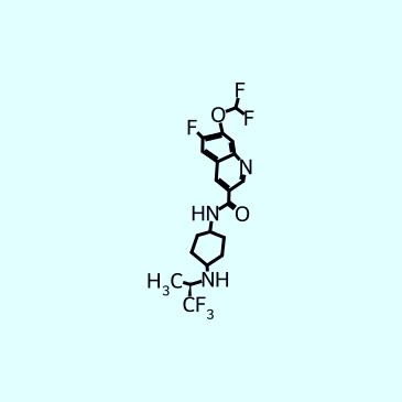 C[C@@H](NC1CCC(NC(=O)c2cnc3cc(OC(F)F)c(F)cc3c2)CC1)C(F)(F)F